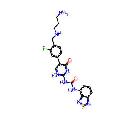 NCCCNCc1ccc(-c2c[nH]c(NC(=O)Nc3cccc4nsnc34)nc2=O)cc1F